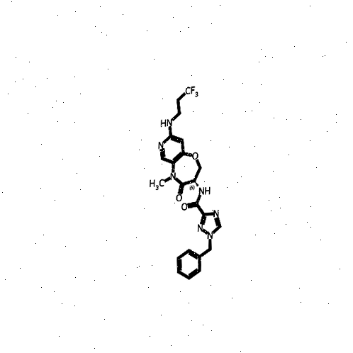 CN1C(=O)[C@@H](NC(=O)c2ncn(Cc3ccccc3)n2)COc2cc(NCCC(F)(F)F)ncc21